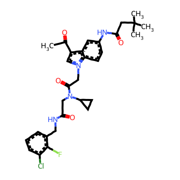 CC(=O)c1cn(CC(=O)N(CC(=O)NCc2cccc(Cl)c2F)C2CC2)c2ccc(NC(=O)CC(C)(C)C)cc12